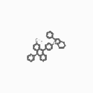 Cc1ccc2c(-c3ccccc3)c3ccccc3c(-c3ccc(-n4c(-c5ccccc5)cc5c4C=CCC5)cc3)c2c1